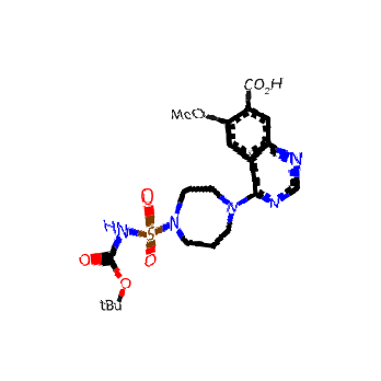 COc1cc2c(N3CCCN(S(=O)(=O)NC(=O)OC(C)(C)C)CC3)ncnc2cc1C(=O)O